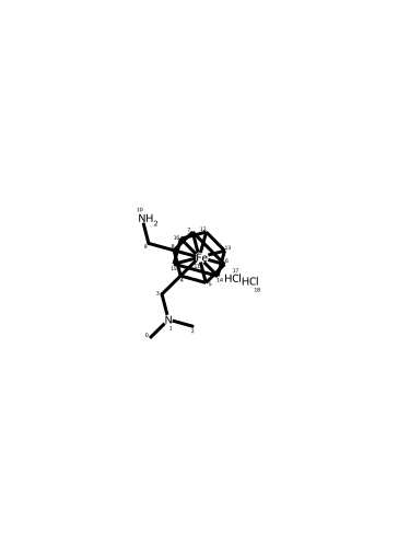 CN(C)C[C]12[CH]3[CH]4[CH]5[C]1(CN)[Fe]45321678[CH]2[CH]1[CH]6[CH]7[CH]28.Cl.Cl